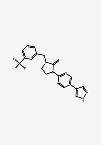 O=C1N(Cc2cccc(C(F)(F)F)c2)CCN1c1ccc(-c2cn[nH]c2)cn1